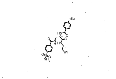 CCCCc1ccc(C(=O)N[C@@H](CNC(=O)c2ccc(S(N)(=O)=O)cc2)C(=O)NCCC(C)C)cc1